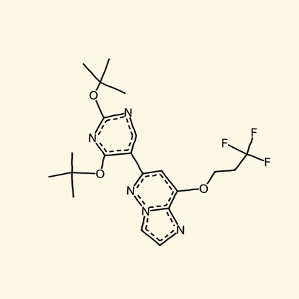 CC(C)(C)Oc1ncc(-c2cc(OCCC(F)(F)F)c3nccn3n2)c(OC(C)(C)C)n1